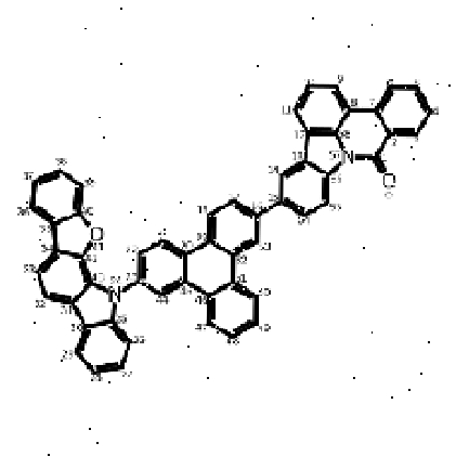 O=c1c2ccccc2c2cccc3c4cc(-c5ccc6c7ccc(-n8c9ccccc9c9ccc%10c%11ccccc%11oc%10c98)cc7c7ccccc7c6c5)ccc4n1c23